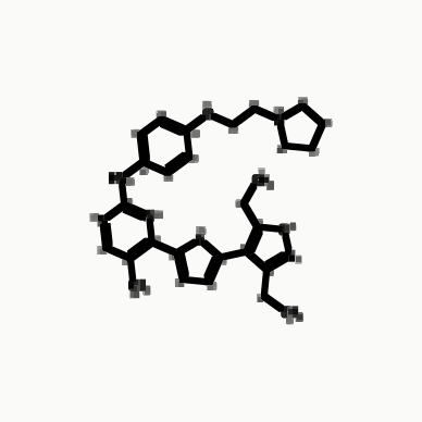 CCc1noc(CC)c1-c1ccc(-c2nc(Nc3ccc(OCCN4CCCC4)cc3)ncc2C)s1